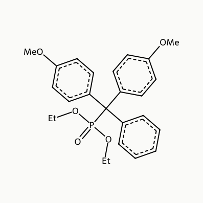 CCOP(=O)(OCC)C(c1ccccc1)(c1ccc(OC)cc1)c1ccc(OC)cc1